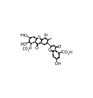 CC(=O)c1c(C)c(-c2cc(=O)c3c(C(=O)O)cc(O)cc3o2)cc2c(=O)c3c(C(=O)O)c(O)c(O)cc3oc12